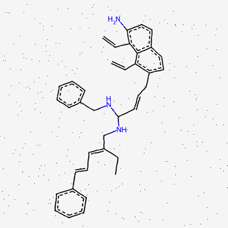 C=Cc1c(N)ccc2ccc(CC=CC(NC/C(=C/C=Cc3ccccc3)CC)NCc3ccccc3)c(C=C)c12